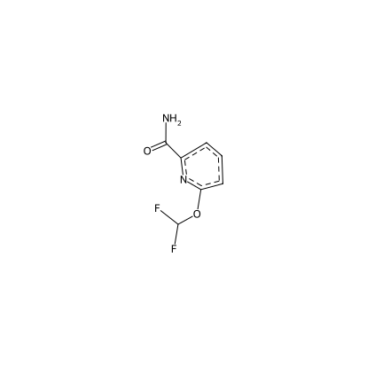 NC(=O)c1cccc(OC(F)F)n1